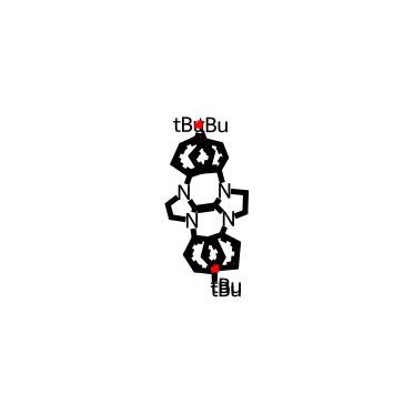 CC(C)(C)c1ccc(N2CCN(c3ccc(C(C)(C)C)cc3)C2=C2N(c3ccc(C(C)(C)C)cc3)CCN2c2ccc(C(C)(C)C)cc2)cc1